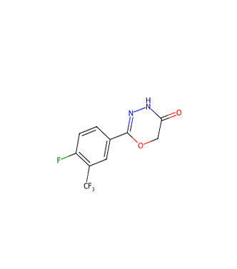 O=C1COC(c2ccc(F)c(C(F)(F)F)c2)=NN1